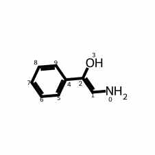 NC=C(O)c1ccccc1